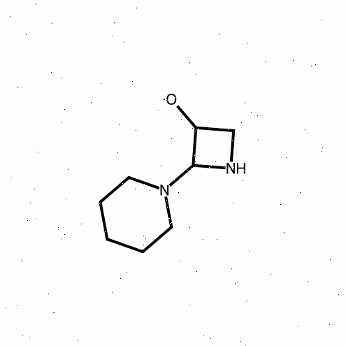 [O]C1CNC1N1CCCCC1